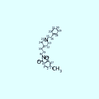 Cc1ccc2c(=O)n(CCCC3CCN(CCc4ccccc4)CC3)oc2c1